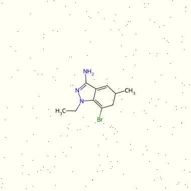 CCn1nc(N)c2c1=C(Br)CC(C)C=2